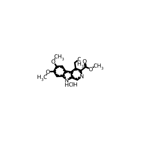 CCc1c(C(=O)OC)ncc2[nH]c3cc(OC)c(OC)cc3c12.Cl